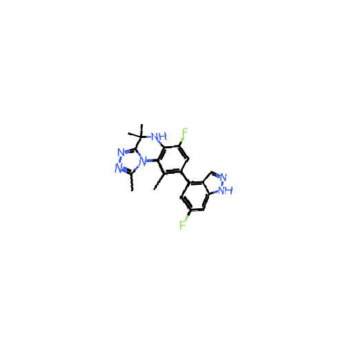 Cc1c(-c2cc(F)cc3[nH]ncc23)cc(F)c2c1-n1c(C)nnc1C(C)(C)N2